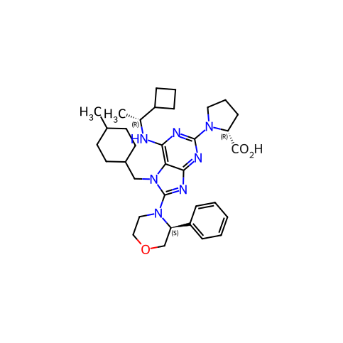 CC1CCC(Cn2c(N3CCOC[C@@H]3c3ccccc3)nc3nc(N4CCC[C@@H]4C(=O)O)nc(N[C@H](C)C4CCC4)c32)CC1